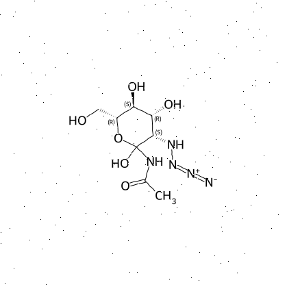 CC(=O)NC1(O)O[C@H](CO)[C@@H](O)[C@H](O)[C@@H]1NN=[N+]=[N-]